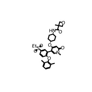 CCS(=O)(=O)c1ccc(Oc2c(C)cccc2C)c(-c2cn(C)c(=O)cc2O[C@H]2CC[C@H](NC(=O)C3(C)COC3)CC2)c1